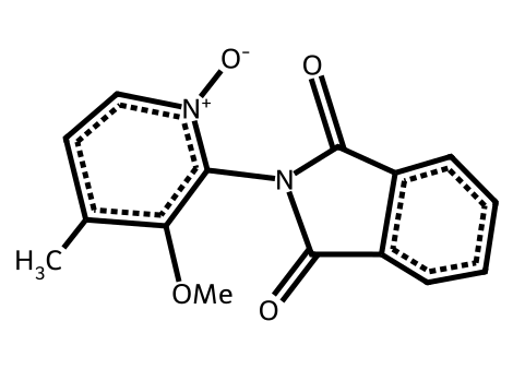 COc1c(C)cc[n+]([O-])c1N1C(=O)c2ccccc2C1=O